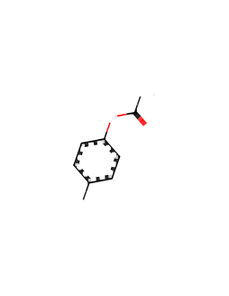 CC(C)(C)c1ccc(OC(=O)C(F)(F)F)cc1